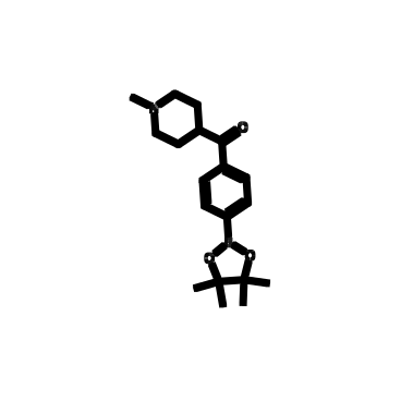 CN1CCC(C(=O)c2ccc(B3OC(C)(C)C(C)(C)O3)cc2)CC1